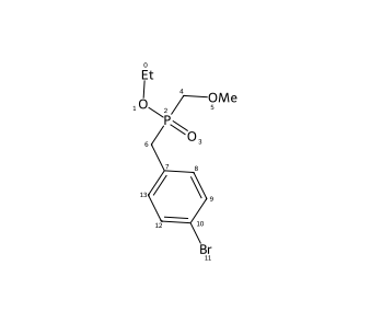 CCOP(=O)(COC)Cc1ccc(Br)cc1